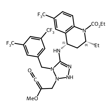 CCOC(=O)N1c2ccc(C(F)(F)F)cc2[C@@H](NC2=NNN(CC(=C=O)OC)N2Cc2cc(C(F)(F)F)cc(C(F)(F)F)c2)C[C@H]1CC